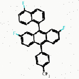 Fc1ccc2c(-c3ccc(C(F)(F)F)cc3)c3ccc(F)cc3c(-c3cccc4c(F)cccc34)c2c1